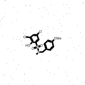 COc1ccc(CN(C)S(=O)(=O)c2cc(Cl)cc(Cl)c2O)cc1